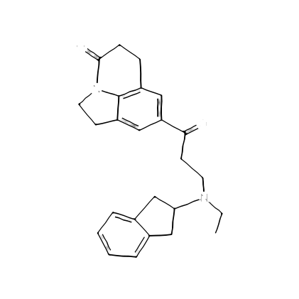 CCN(CCC(=O)c1cc2c3c(c1)CCN3C(=O)CC2)C1Cc2ccccc2C1